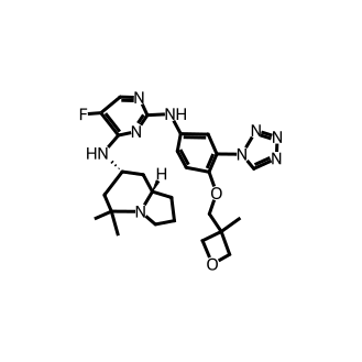 CC1(COc2ccc(Nc3ncc(F)c(N[C@@H]4C[C@@H]5CCCN5C(C)(C)C4)n3)cc2-n2cnnn2)COC1